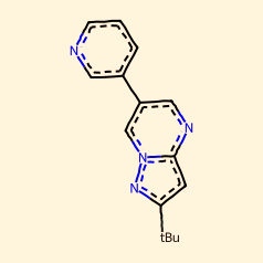 CC(C)(C)c1cc2ncc(-c3cccnc3)cn2n1